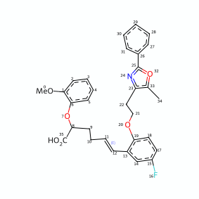 COc1ccccc1OC(CC/C=C/c1cc(F)ccc1OCCc1nc(-c2ccccc2)oc1C)C(=O)O